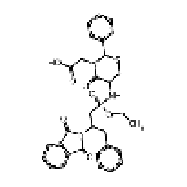 CCOP(=O)(CC(Cc1ccccc1)N1C(=O)c2ccccc2C1=O)NC1CSC(c2ccccc2)N(CC(=O)O)C1=O